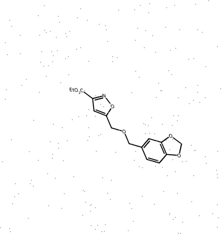 CCOC(=O)c1cc(COCc2ccc3c(c2)OCO3)on1